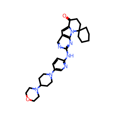 O=C1CCC2(CCCCC2)n2c1cc1cnc(Nc3ccc(N4CCC(N5CCOCC5)CC4)cn3)nc12